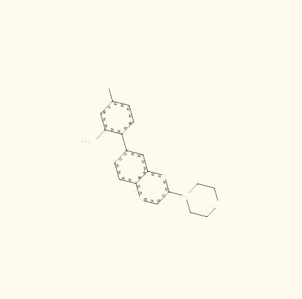 COc1cc(Cl)ccc1-c1ccc2ncc(N3CCOCC3)nc2c1